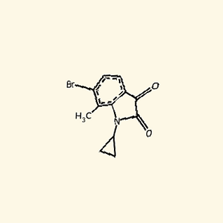 Cc1c(Br)ccc2c1N(C1CC1)C(=O)C2=O